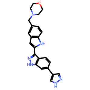 c1cc2[nH]c(-c3n[nH]c4cc(-c5cn[nH]c5)ccc34)cc2cc1CN1CCOCC1